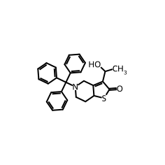 CC(O)C1=C2CN(C(c3ccccc3)(c3ccccc3)c3ccccc3)CCC2SC1=O